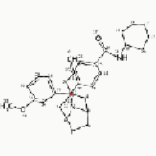 C=CCN1CC2CCC(C1)N2C(c1ccc(C(=O)NC2CCCCC2)cc1)c1cccc(OC)c1